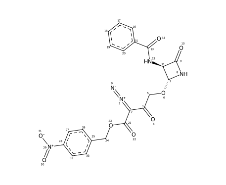 [N-]=[N+]=C(C(=O)CO[C@H]1NC(=O)[C@@H]1NC(=O)c1ccccc1)C(=O)OCc1ccc([N+](=O)[O-])cc1